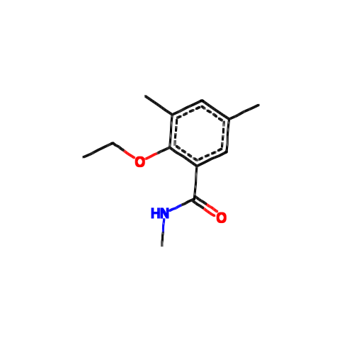 CCOc1c(C)cc(C)cc1C(=O)NC